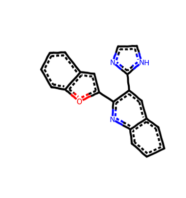 c1ccc2nc(-c3cc4ccccc4o3)c(-c3ncc[nH]3)cc2c1